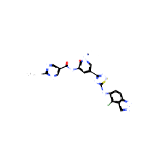 COc1ncc(C(=O)Nc2cc(-c3nsc(Nc4ccc5[nH]ncc5c4Cl)n3)cn(C)c2=O)cn1